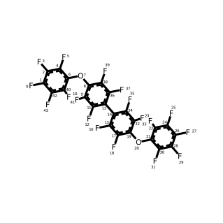 Fc1c(F)c(F)c(Oc2c(F)c(F)c(-c3c(F)c(F)c(Oc4c(F)c(F)c(F)c(F)c4F)c(F)c3F)c(F)c2F)c(F)c1F